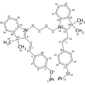 CC(C)Oc1ccc(/C=C/C2=[N+](CCCC[N+]3=C(/C=C/c4ccc(OC(C)C)cc4)C(C)(C)c4ccccc43)c3ccccc3C2(C)C)cc1